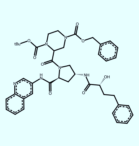 CC(C)(C)OC(=O)N1CCN(C(=O)OCc2ccccc2)CC1C(=O)N1C[C@H](NC(=O)[C@H](O)CCc2ccccc2)C[C@H]1C(=O)Nc1cnc2ccccc2c1